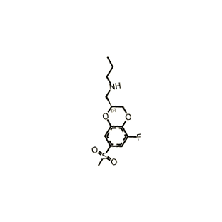 CCCNC[C@H]1COc2c(F)cc(S(C)(=O)=O)cc2O1